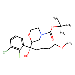 COCCCC[C@@](O)(c1cccc(Cl)c1F)C1CN(C(=O)OC(C)(C)C)CCO1